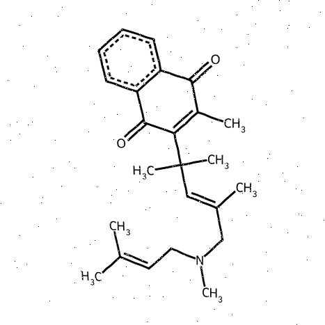 CC(C)=CCN(C)C/C(C)=C/C(C)(C)C1=C(C)C(=O)c2ccccc2C1=O